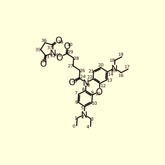 CCN(CC)c1ccc2c(c1)Oc1cc(N(CC)CC)ccc1N2C(=O)CCCC(=O)ON1C(=O)CCC1=O